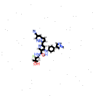 Cn1cc([C@H]2CC[C@H](Nc3cc(-c4ccc5cc(C#N)cnn45)ncc3C(=O)NC[C@@H](F)C(C)(C)O)CC2)cn1